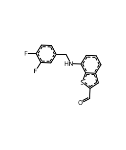 O=Cc1cc2cccc(NCc3ccc(F)c(F)c3)c2s1